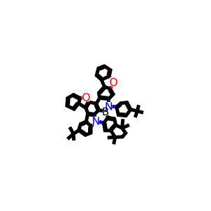 CC(C)(C)c1ccc(N2B3c4cc5c(cc4-n4c6ccc(C(C)(C)C)cc6c6c7c(oc8ccccc87)c(c3c64)-c3cc4c(cc32)oc2ccccc24)C(C)(C)CCC5(C)C)cc1